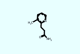 Cc1cccnc1CCC(N)=O